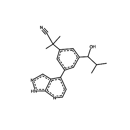 CC(C)C(O)c1cc(-c2ccnc3[nH]ncc23)cc(C(C)(C)C#N)c1